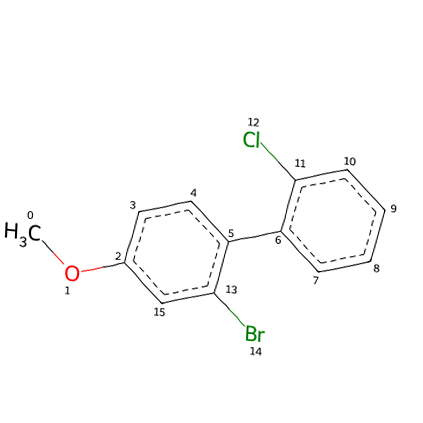 COc1ccc(-c2ccccc2Cl)c(Br)c1